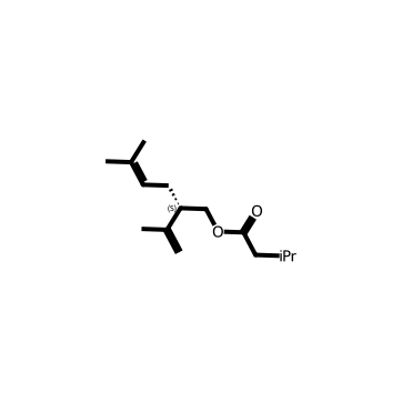 C=C(C)[C@H](CC=C(C)C)COC(=O)CC(C)C